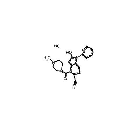 CN1CCN(C(=O)c2c(C#N)ccc3c2cc(O)n3-c2ccccn2)CC1.Cl